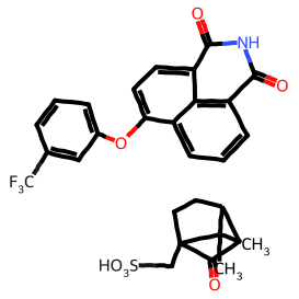 CC1(C)C2CCC1(CS(=O)(=O)O)C(=O)C2.O=C1NC(=O)c2ccc(Oc3cccc(C(F)(F)F)c3)c3cccc1c23